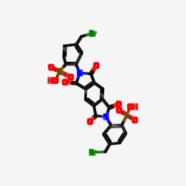 O=c1c2cc3c(=O)n(-c4cc(CBr)ccc4S(=O)(=O)O)c(=O)c3cc2c(=O)n1-c1cc(CBr)ccc1S(=O)(=O)O